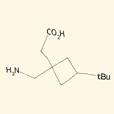 CC(C)(C)C1CC(CN)(CC(=O)O)C1